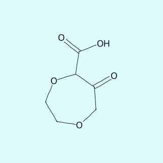 O=C(O)C1OCCOCC1=O